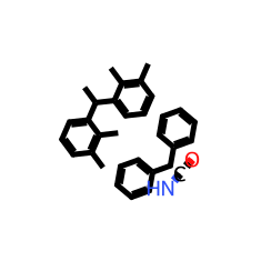 Cc1cccc(C(C)c2cccc(C)c2C)c1C.N=C=O.c1ccc(Cc2ccccc2)cc1